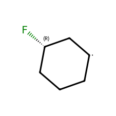 F[C@@H]1C[CH]CCC1